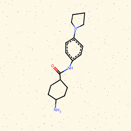 NC1CCC(C(=O)Nc2ccc(N3CCCC3)cc2)CC1